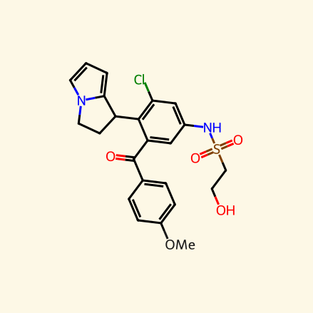 COc1ccc(C(=O)c2cc(NS(=O)(=O)CCO)cc(Cl)c2C2CCn3cccc32)cc1